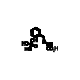 O=C(O)NOCc1ccccc1.O=P(O)(O)O